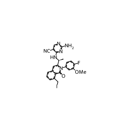 COc1cc(-n2c([C@H](C)Nc3nc(N)ncc3C#N)cc3cccc(CI)c3c2=O)ccc1F